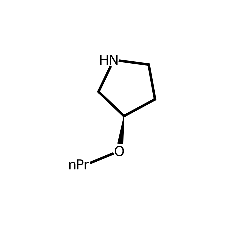 CCCO[C@@H]1CCNC1